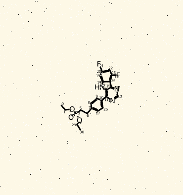 CCOP(=O)(CCc1ccc(-c2ncnc3c2[nH]c2cc(F)cc(F)c23)cc1)OCC